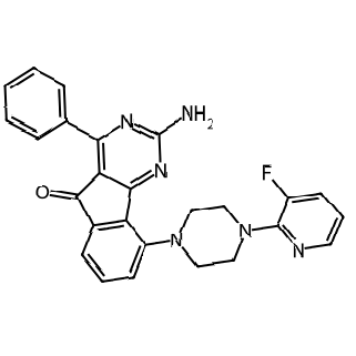 Nc1nc(-c2ccccc2)c2c(n1)-c1c(cccc1N1CCN(c3ncccc3F)CC1)C2=O